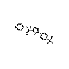 O=C(Nc1ccncc1)c1ccc(-c2ccc(C(F)(F)F)cc2)s1